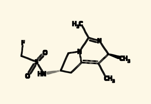 CC1=N[C@@H](C)C(C)=C2C[C@H](NS(=O)(=O)CF)CN12